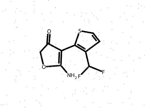 NC1=C(c2sccc2C(F)F)C(=O)CO1